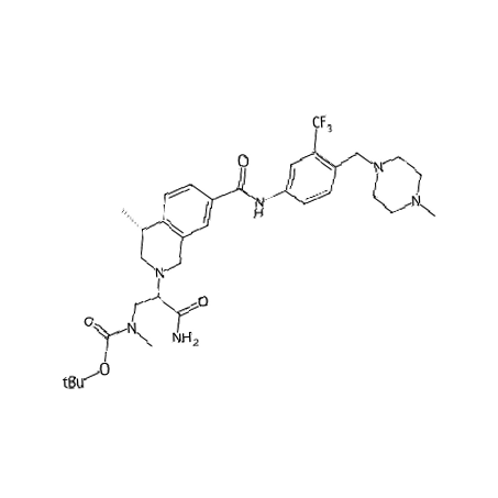 C[C@H]1CN(C(CN(C)C(=O)OC(C)(C)C)C(N)=O)Cc2cc(C(=O)Nc3ccc(CN4CCN(C)CC4)c(C(F)(F)F)c3)ccc21